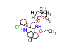 C=CCOc1ccc(I)cc1[C@H]1NC(=O)C[C@@H](c2cccc(Cl)c2)[C@]12C(=O)Nc1cc(Cl)ccc12.COC(C)[Si](C)(C)C